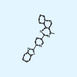 Cc1nc(-c2ccc(-c3nc4ccccc4s3)nc2)nc2c1ccc1ccccc12